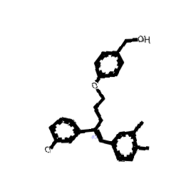 Cc1ccc(/C=C(\CCCOc2ccc(CO)cc2)c2cccc(Cl)c2)cc1C